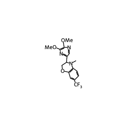 COc1ncc(C2COc3cc(C(F)(F)F)ccc3N2C)nc1OC